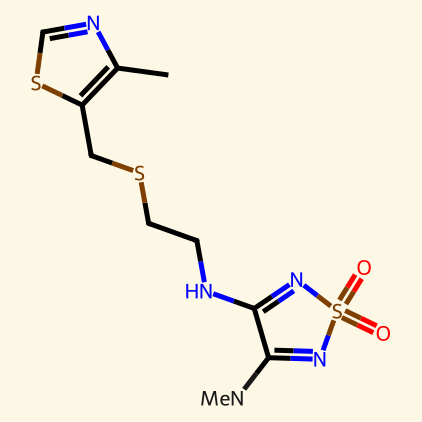 CNC1=NS(=O)(=O)N=C1NCCSCc1scnc1C